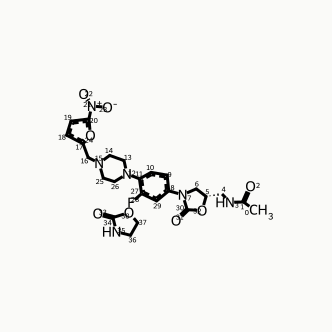 CC(=O)NC[C@H]1CN(c2ccc(N3CCN(Cc4ccc([N+](=O)[O-])o4)CC3)c(F)c2)C(=O)O1.O=C1NCCO1